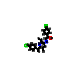 C=C(C/N=C(CC)\C(CCC)=N/CC(=O)c1ccc(Cl)cc1)c1ccc(Cl)cc1